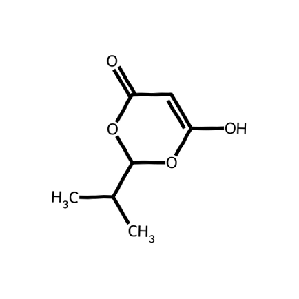 CC(C)C1OC(=O)C=C(O)O1